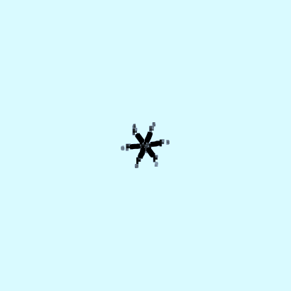 [F][Mn]([F])([F])([F])([F])[F]